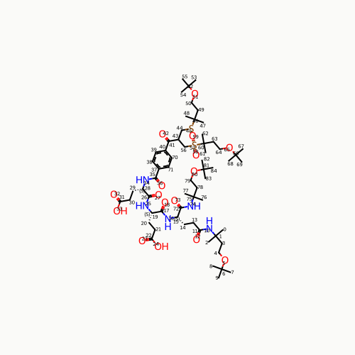 CC(C)(CCOC(C)(C)C)NC(=O)CC[C@H](NC(=O)[C@H](CCC(=O)O)NC(=O)[C@H](CCC(=O)O)NC(=O)c1ccc(C(=O)C(CSC(C)(C)CCOC(C)(C)C)CS(=O)(=O)C(C)(C)CCOC(C)(C)C)cc1)C(=O)NC(C)(C)CCOC(C)(C)C